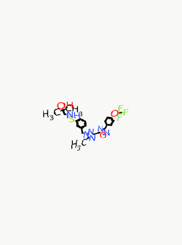 Cc1nc(-c2nc(-c3ccc(OC(F)(F)F)cc3)no2)nn1Cc1cccc(SNCC(C)(C)O)c1